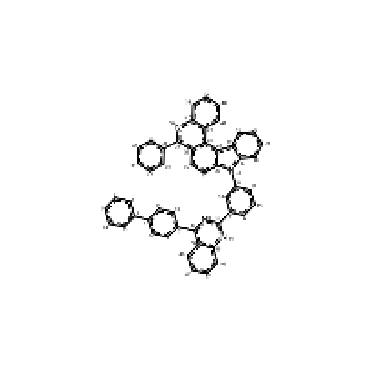 c1ccc(-c2ccc(-c3nc(-c4cccc(-n5c6ccccc6c6c7c(ccc65)c(-c5ccccc5)nc5ccccc57)c4)nc4ccccc34)cc2)cc1